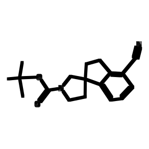 CC(C)(C)OC(=O)N1CCC2(CCc3c(C#N)cccc32)C1